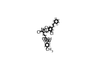 Cc1ccc(S(=O)(=O)NC(=O)/C=C/c2c(Cl)nc(C)n2Cc2ccc(/C=C/c3ccccc3)cc2Cl)cc1